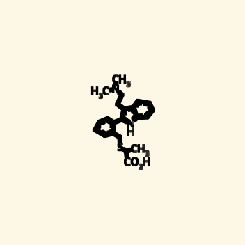 CC(SCc1ccccc1-c1[nH]c2ccccc2c1CCN(C)C)C(=O)O